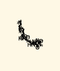 CN(C)CCN1CCN(CCS(=O)(=O)NC(=O)CCSc2nc3c([nH]2)c(=O)n(C)c(=O)n3C)CC1